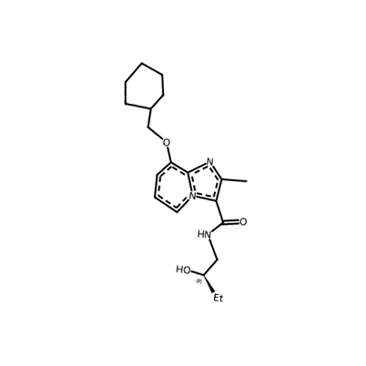 CC[C@@H](O)CNC(=O)c1c(C)nc2c(OCC3CCCCC3)cccn12